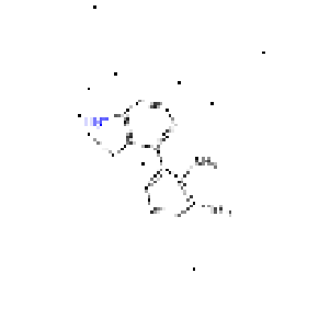 Bc1cccc(-c2cccc3c2CCN3)c1C